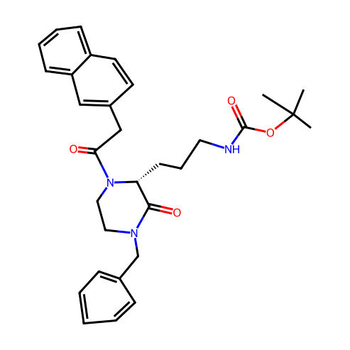 CC(C)(C)OC(=O)NCCC[C@@H]1C(=O)N(Cc2ccccc2)CCN1C(=O)Cc1ccc2ccccc2c1